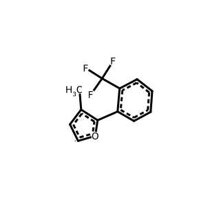 Cc1c[c]oc1-c1ccccc1C(F)(F)F